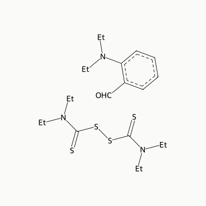 CCN(CC)C(=S)SSC(=S)N(CC)CC.CCN(CC)c1ccccc1C=O